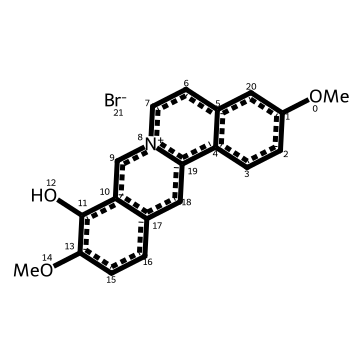 COc1ccc2c(cc[n+]3cc4c(O)c(OC)ccc4cc23)c1.[Br-]